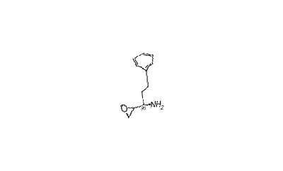 N[C@H](CCc1ccccc1)C1CO1